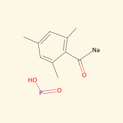 Cc1cc(C)c([C](=O)[Na])c(C)c1.O=PO